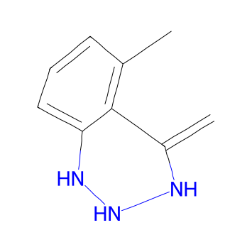 C=C1NNNc2cccc(C)c21